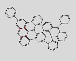 c1ccc(-c2cccc(-c3ccccc3N(c3ccccc3)c3cc4c(cc3-c3ccccc3)-c3ccccc3C43c4ccccc4N(c4ccccc4)c4ccccc43)c2)cc1